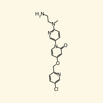 CN(CCN)c1ccc(-n2ccc(OCc3ccc(Cl)cn3)cc2=O)cn1